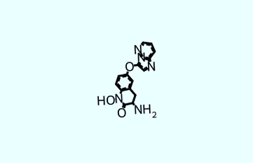 NC1Cc2cc(Oc3cnc4cccnn34)ccc2N(O)C1=O